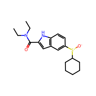 CCN(CC)C(=O)c1cc2cc([S+]([O-])C3CCCCC3)ccc2[nH]1